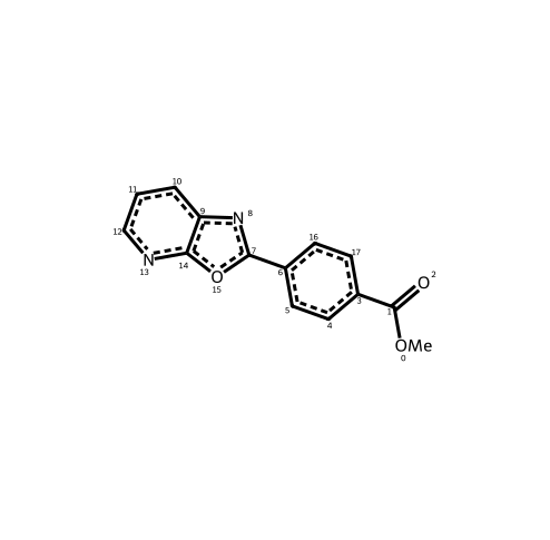 COC(=O)c1ccc(-c2nc3cccnc3o2)cc1